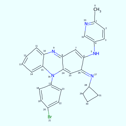 Cc1ccc(Nc2cc3nc4ccccc4n(-c4ccc(Br)cc4)c-3c/c2=N\C2CCC2)cn1